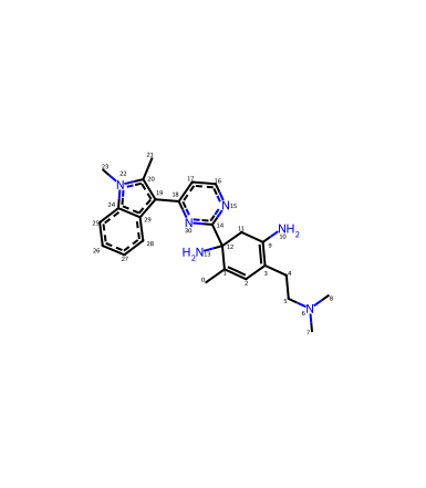 CC1=CC(CCN(C)C)=C(N)CC1(N)c1nccc(-c2c(C)n(C)c3ccccc23)n1